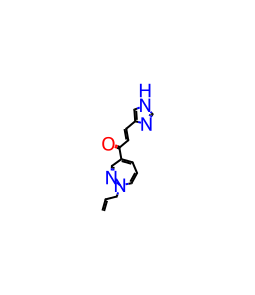 C=CCN1C=CC=C(C(=O)C=Cc2c[nH]cn2)C=N1